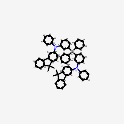 CC1(C)c2ccccc2-c2cc(N(c3ccccc3)c3cccc([Si](c4ccccc4)(c4ccccc4)c4cccc(N(c5ccccc5)c5ccc6c(c5)-c5ccccc5C6(C)C)c4)c3)ccc21